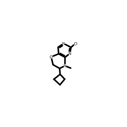 CN1c2nc(Cl)ncc2OCC1C1CCC1